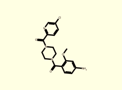 COc1cc(N)ccc1C(=O)N1CCN(C(=O)c2ccc(Cl)cn2)CC1